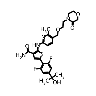 Cc1nc(Nc2sc(-c3c(F)cc(C(C)(C)O)cc3F)cc2C(N)=O)ccc1COCCN1CCOCC1=O